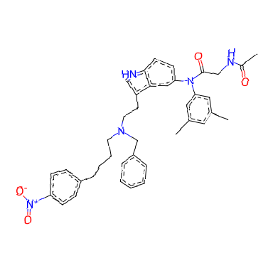 CC(=O)NCC(=O)N(c1cc(C)cc(C)c1)c1ccc2[nH]cc(CCN(CCCCc3ccc([N+](=O)[O-])cc3)Cc3ccccc3)c2c1